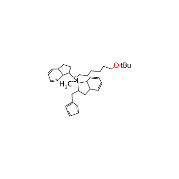 CC(C)(C)OCCCCCC[Si](C)(C1CCC2C=CC=CC21)C1C(Cc2ccccc2)CC2C=CC=CC21